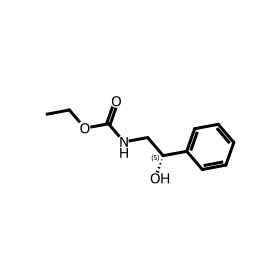 CCOC(=O)NC[C@@H](O)c1ccccc1